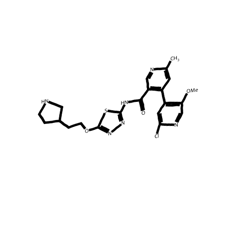 COc1cnc(Cl)cc1-c1cc(C)ncc1C(=O)Nc1nnc(OCCC2CCNC2)s1